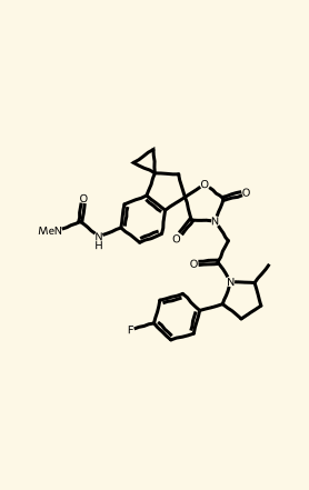 CNC(=O)Nc1ccc2c(c1)C1(CC1)CC21OC(=O)N(CC(=O)N2C(C)CCC2c2ccc(F)cc2)C1=O